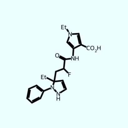 CCn1cc(NC(=O)C(F)CC2(CC)C=CNN2c2ccccc2)c(C(=O)O)c1